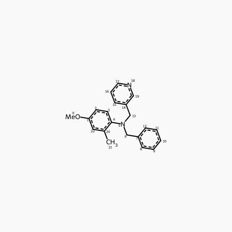 COc1ccc(N(Cc2ccccc2)Cc2cccnc2)c(C)c1